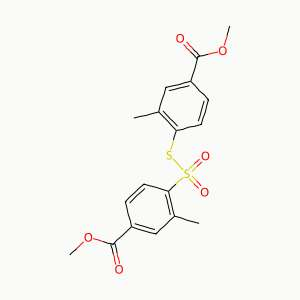 COC(=O)c1ccc(SS(=O)(=O)c2ccc(C(=O)OC)cc2C)c(C)c1